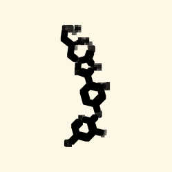 Cl.N[C@@H](CC(=O)O)Cn1nc(-c2ccc(Oc3ncc(Cl)cc3F)cc2)[nH]c1=O